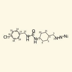 [N-]=[N+]=NCC1CCC(NC(=O)NCc2ccc(Cl)cc2)CC1